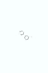 COc1cc(C)cc(-c2ccc(=O)n(C)c2)c1